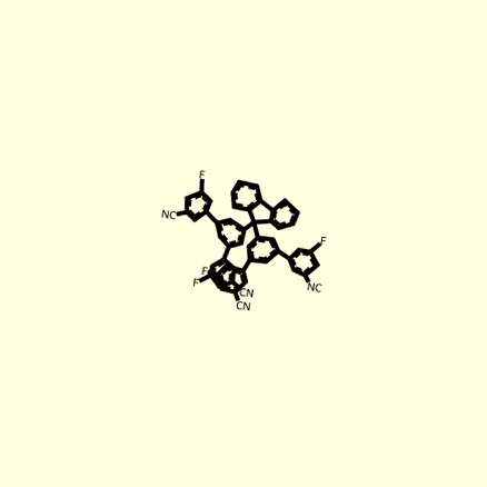 [C-]#[N+]c1cc(F)cc(-c2cc(-c3cc(F)cc(C#N)c3)cc(C3(c4cc(-c5cc(F)cc(C#N)c5)cc(-c5cc(F)cc(C#N)c5)c4)c4ccccc4-c4ccccc43)c2)c1